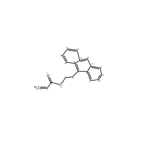 C=CC(=O)OCCc1c2ccccc2cc2ccccc12